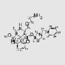 COC(=O)C1=C(C)NC(COCCN)=C(C(=O)O[C@]2(C)CCN(Cc3ccccc3)C2)[C@H]1c1ccccc1Cl